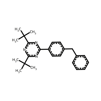 CC(C)(C)c1nc(-c2ccc(Cc3ccccc3)cc2)nc(C(C)(C)C)n1